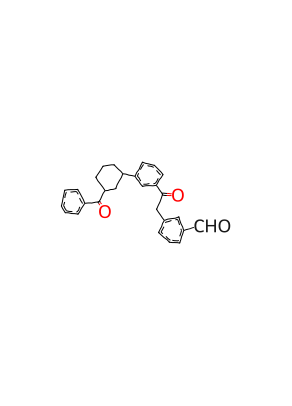 O=Cc1cccc(CC(=O)c2cccc(C3CCCC(C(=O)c4ccccc4)C3)c2)c1